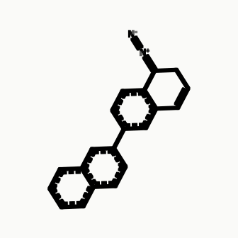 [N-]=[N+]=C1CC=Cc2cc(-c3ccc4ccccc4c3)ccc21